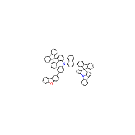 c1ccc2c(c1)-c1ccccc1C21c2ccccc2-c2c(N(c3ccc(-c4ccc5oc6ccccc6c5c4)cc3)c3ccc(-c4ccc5c(c4)C4(c6ccccc6-5)c5ccccc5-n5c6ccccc6c6cccc4c65)c4ccccc34)cccc21